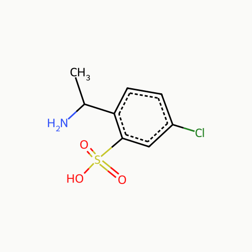 CC(N)c1ccc(Cl)cc1S(=O)(=O)O